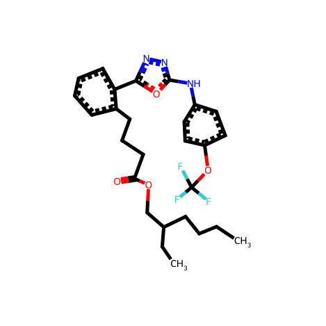 CCCCC(CC)COC(=O)CCCc1ccccc1-c1nnc(Nc2ccc(OC(F)(F)F)cc2)o1